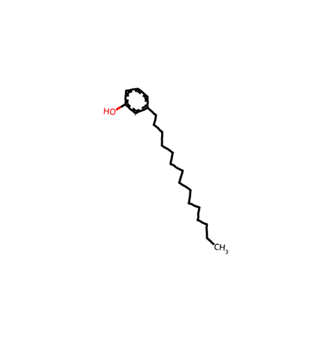 CCCCCCCCCCCCCCCc1[c]c(O)ccc1